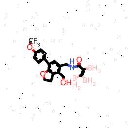 BC(B)=C(B)C(=O)NCc1cc(-c2ccc(OC(F)(F)F)cc2)c2c(c1CO)CCO2